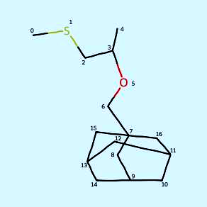 CSCC(C)OCC12CC3CC(CC(C3)C1)C2